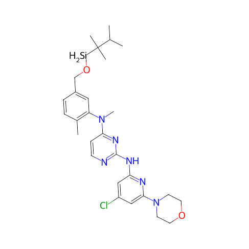 Cc1ccc(CO[SiH2]C(C)(C)C(C)C)cc1N(C)c1ccnc(Nc2cc(Cl)cc(N3CCOCC3)n2)n1